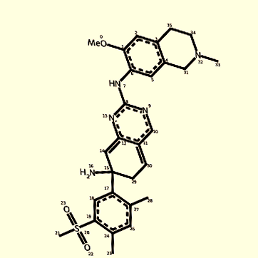 COc1cc2c(cc1Nc1ncc3c(n1)=CC(N)(c1cc(S(C)(=O)=O)c(C)cc1C)CC=3)CN(C)CC2